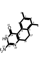 Cc1cc(C)c2c(c1)-c1c(nc(N)[nH]c1=O)CC2